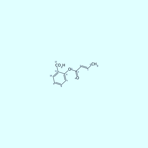 C/C=C/C(=O)Oc1ccccc1C(=O)O